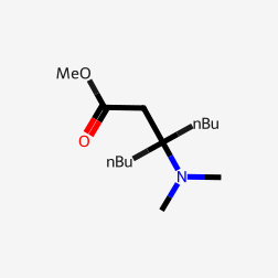 CCCCC(CCCC)(CC(=O)OC)N(C)C